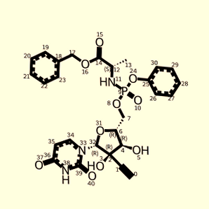 C#C[C@@]1(O)[C@H](O)[C@@H](COP(=O)(N[C@@H](C)C(=O)OCc2ccccc2)Oc2ccccc2)O[C@H]1n1ccc(=O)[nH]c1=O